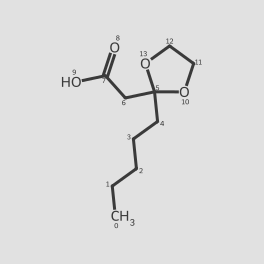 CCCCCC1(CC(=O)O)OCCO1